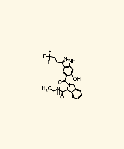 CCNC(=O)C1c2ccccc2CN1C(=O)c1cc2c(CCC(F)(F)F)n[nH]c2cc1O